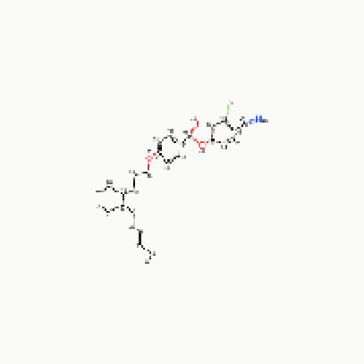 CCCCCCC1CCCCC1CCCOc1ccc(C(=O)Oc2ccc(C#N)c(F)c2)cc1